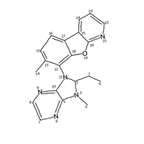 CCC1N(C)c2nccnc2N1c1c(C)ccc2c1oc1ncccc12